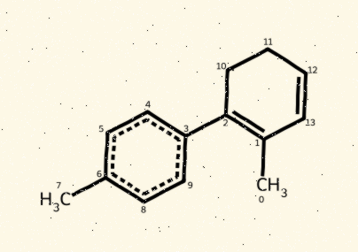 CC1=C(c2ccc(C)cc2)[CH]CC=C1